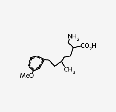 COc1cccc(CCC(C)CCC(CN)C(=O)O)c1